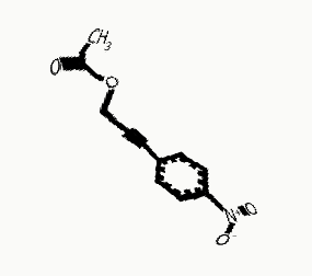 CC(=O)OCC#Cc1ccc([N+](=O)[O-])cc1